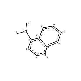 CN(C)c1ccnc2cnccc12